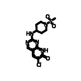 CS(=O)(=O)N1CCC(Nc2ncc3cc(Cl)c(=O)[nH]c3n2)CC1